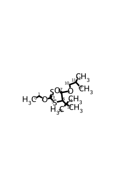 CCOC(=S)SC(C(=O)OCC(C)C)C(C)(C)C